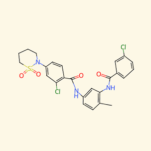 Cc1ccc(NC(=O)c2ccc(N3CCCCS3(=O)=O)cc2Cl)cc1NC(=O)c1cccc(Cl)c1